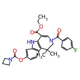 CCOC(=O)C1=CN(C(=O)c2ccc(F)cc2)CC(C)(C)c2c1[nH]c1cc(OC(=O)N3CCC3)ccc21